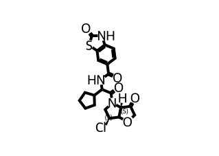 O=C(NC(C(=O)N1C[C@H](Cl)C2OCC(=O)[C@H]21)C1CCCC1)c1ccc2[nH]c(=O)sc2c1